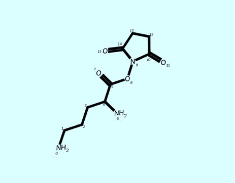 NCCCC(N)C(=O)ON1C(=O)CCC1=O